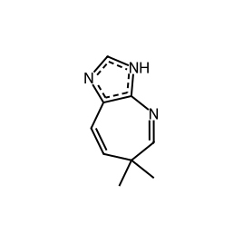 CC1(C)C=Cc2nc[nH]c2N=C1